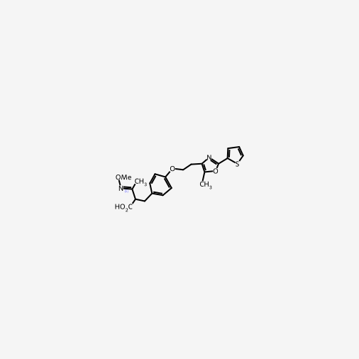 CO/N=C(\C)C(Cc1ccc(OCCc2nc(-c3cccs3)oc2C)cc1)C(=O)O